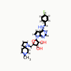 CN1CCC2(CCCN2C[C@H]2O[C@@H](n3ccc4c(NCc5ccc(F)cc5)ncnc43)[C@H](O)[C@@H]2O)CC1